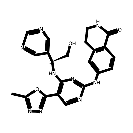 Cc1nnc(-c2cnc(Nc3ccc4c(c3)CCNC4=O)nc2N[C@H](CO)c2cncnc2)o1